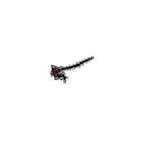 C=C(F)C(=O)OC(C)(C)C1OCC(F)(F)C(OCOCCCCCCCCCCCCCCCCCCCC)(C(F)(F)F)O1